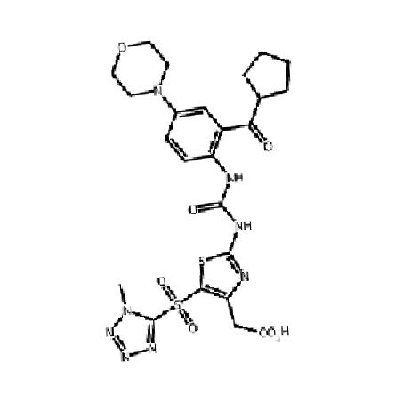 Cn1nnnc1S(=O)(=O)c1sc(NC(=O)Nc2ccc(N3CCOCC3)cc2C(=O)C2CCCC2)nc1CC(=O)O